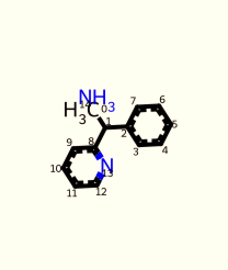 CC(c1ccccc1)c1ccccn1.N